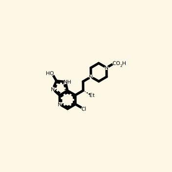 CC[C@@H](CN1CCN(C(=O)O)CC1)c1c(Cl)cnc2nc(O)[nH]c12